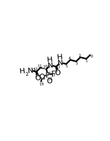 CCCCCCNC(=O)N[C@H](CC(N)=O)P(=O)(F)OC